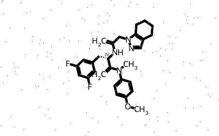 C=C(Cn1ncc2c1CCCC2)N[C@@H](Cc1cc(F)cc(F)c1)C(=C)N(C)c1ccc(OC)cc1